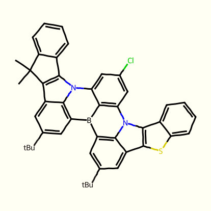 CC(C)(C)c1cc2c3c(c1)c1c(n3-c3cc(Cl)cc4c3B2c2cc(C(C)(C)C)cc3c5sc6ccccc6c5n-4c23)-c2ccccc2C1(C)C